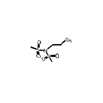 CS(=O)(=O)N(CCO)S(C)(=O)=O